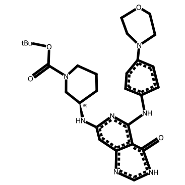 CC(C)(C)OC(=O)N1CCC[C@@H](Nc2cc3nc[nH]c(=O)c3c(Nc3ccc(N4CCOCC4)cc3)n2)C1